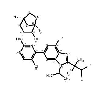 CC(C)n1c(C(C)(C)C(F)F)nc2c(F)cc(-c3nc(N[C@@H]4C[C@H]5CO[C@H](O5)[C@H]4O)ncc3Cl)cc21